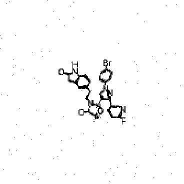 C[C@H]1O[C@H](c2cn(-c3ccc(Br)cc3)nc2-c2ccc(F)nc2)N(CCc2ccc3c(c2)CC(=O)N3)C1=O